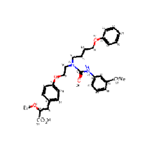 CCOC(Cc1ccc(OCCN(CCCCOc2ccccc2)C(=O)Nc2cccc(OC)c2)cc1)C(=O)O